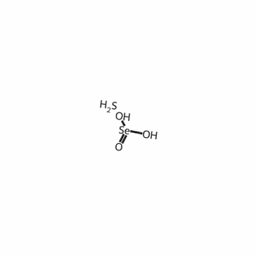 O=[Se](O)O.S